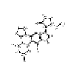 C[C@@H]1CN(c2c(C3OCCO3)cc3c(N4C(=O)OC[C@@H]4CO)noc3c2F)C[C@@H](C)O1